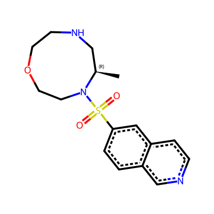 C[C@@H]1CNCCOCCN1S(=O)(=O)c1ccc2cnccc2c1